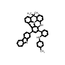 Cc1ccc(Nc2ccccc2-c2cc(-c3ccc4c(c3)sc3ccccc34)c3c4cccc5c4n4c3c2Bc2cccc(c2-4)C5(C)C)cc1